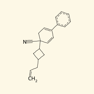 C=CCC1CC(C2(C#N)C=CC(c3ccccc3)=CC2)C1